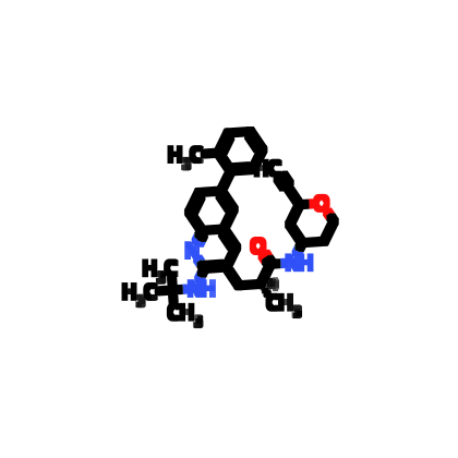 C#CC1CC(NC(=O)[C@H](C)Cc2cc3cc(-c4ccccc4C)ccc3nc2NC(C)(C)C)CCO1